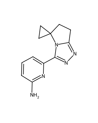 Nc1cccc(-c2nnc3n2C2(CC3)CC2)n1